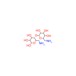 NCC1OC(O)C(O)[C@@H](O)[C@@H]1O[C@@H]1OC(CN)[C@H](O)[C@H](O)C1O